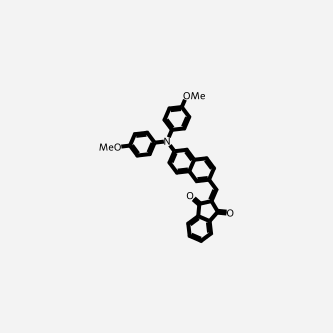 COc1ccc(N(c2ccc(OC)cc2)c2ccc3cc(C=C4C(=O)c5ccccc5C4=O)ccc3c2)cc1